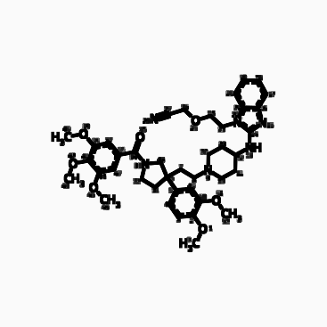 COc1ccc(C2(CCN3CCC(Nc4nc5ccccc5n4CCOCC#N)CC3)CCN(C(=O)c3cc(OC)c(OC)c(OC)c3)C2)cc1OC